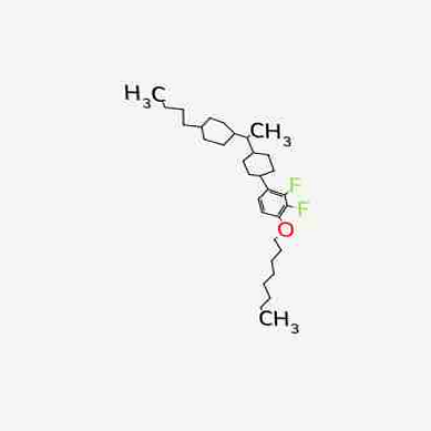 CCCCCCCCOc1ccc(C2CCC(C(C)C3CCC(CCCC)CC3)CC2)c(F)c1F